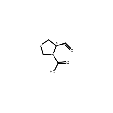 O=C[C@@H]1CSCN1C(=O)O